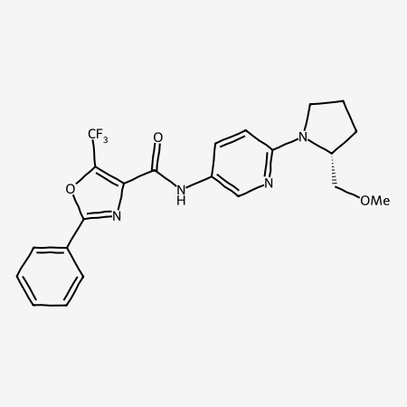 COC[C@H]1CCCN1c1ccc(NC(=O)c2nc(-c3ccccc3)oc2C(F)(F)F)cn1